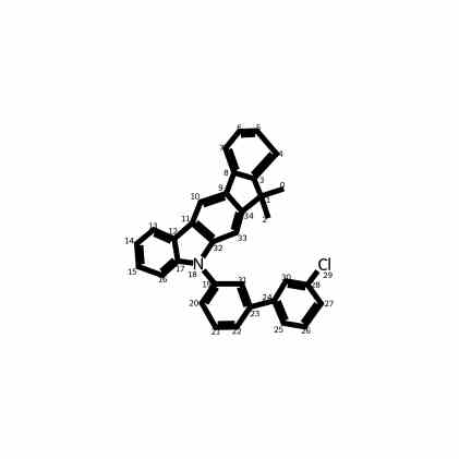 CC1(C)c2ccccc2-c2cc3c4ccccc4n(-c4cccc(-c5cccc(Cl)c5)c4)c3cc21